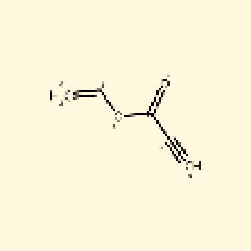 C#CC(=O)OC=C